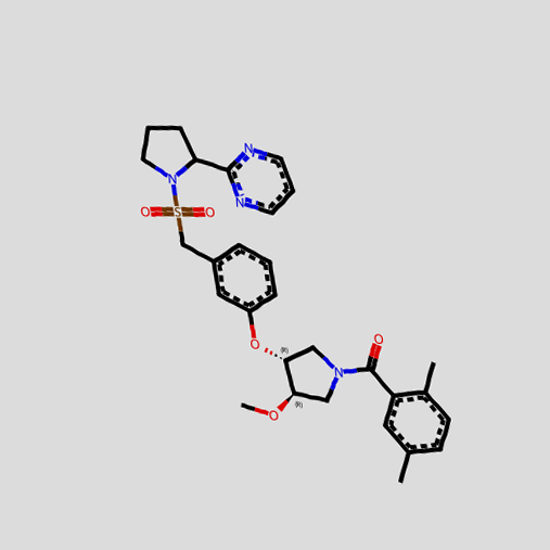 CO[C@@H]1CN(C(=O)c2cc(C)ccc2C)C[C@H]1Oc1cccc(CS(=O)(=O)N2CCCC2c2ncccn2)c1